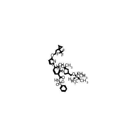 CN1C(N2CC(CO[Si](C)(C)C(C)(C)C)CC2(C)C)=C(C(=O)NS(=O)(=O)c2ccccc2)C=CC1n1ccc(OCCC2(C(F)(F)F)CC2)n1